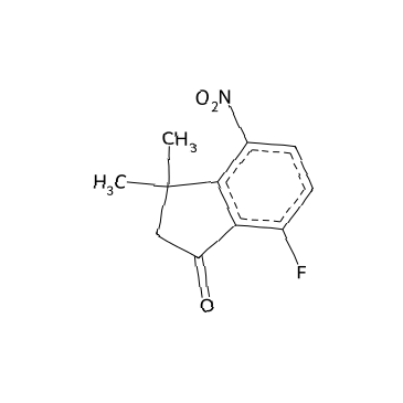 CC1(C)CC(=O)c2c(F)ccc([N+](=O)[O-])c21